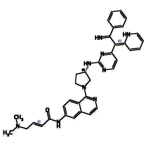 CN(C)C/C=C/C(=O)Nc1ccc2c(N3CC[C@H](Nc4nccc(/C(C(=N)c5ccccc5)=C5\C=CC=CN5)n4)C3)nccc2c1